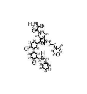 C[C@H]1COCCN1CCCn1nc(-c2ccc(Cl)c(-c3ccc(Cl)c(CNCc4ccccn4)c3)c2)c2c1CCN(C(=O)C(N)=O)C2